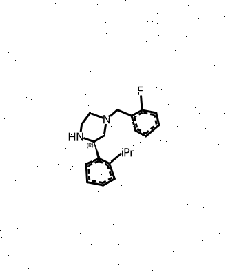 CC(C)c1ccccc1[C@@H]1CN(Cc2ccccc2F)CCN1